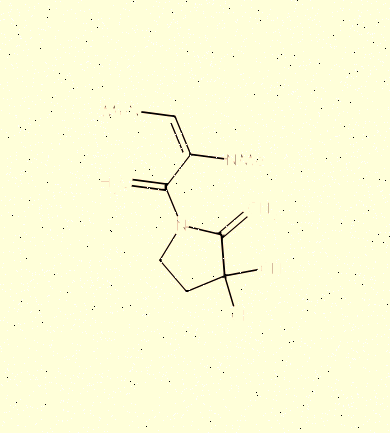 C=C(/C(=C\NC)NC)N1CCC(C)(C)C1=C